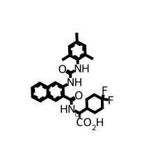 Cc1cc(C)c(NC(=O)Nc2cc3ccccc3cc2C(=O)N[C@H](C(=O)O)C2CCC(F)(F)CC2)c(C)c1